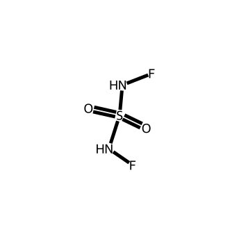 O=S(=O)(NF)NF